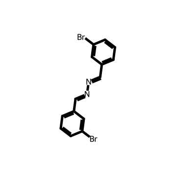 Brc1cccc(C=NN=Cc2cccc(Br)c2)c1